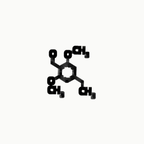 CCc1cc(OC)c(C=O)c(OC)c1